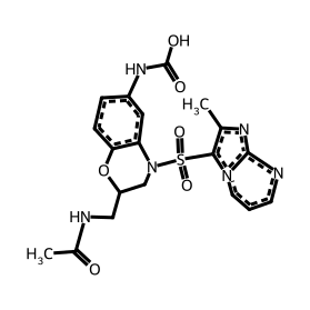 CC(=O)NCC1CN(S(=O)(=O)c2c(C)nc3ncccn23)c2cc(NC(=O)O)ccc2O1